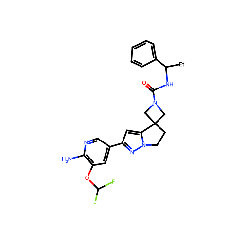 CCC(NC(=O)N1CC2(CCn3nc(-c4cnc(N)c(OC(F)F)c4)cc32)C1)c1ccccc1